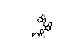 Nc1ncnc2c1ncn2Cc1c(N2CCC(N)(C(=O)NC3CC3)C2)ccc2ccoc12